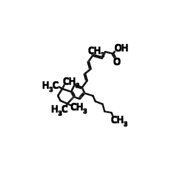 CCCCCCc1cc2c(cc1C=CC=CC(C)=CCC(=O)O)C(C)(C)CCC2(C)C